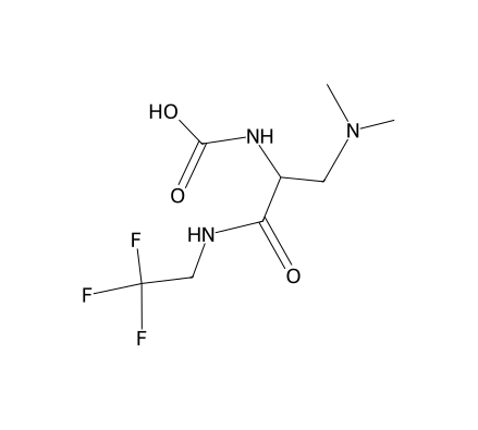 CN(C)CC(NC(=O)O)C(=O)NCC(F)(F)F